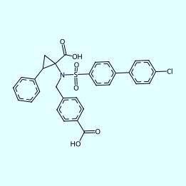 O=C(O)c1ccc(CN(C2(C(=O)O)CC2c2ccccc2)S(=O)(=O)c2ccc(-c3ccc(Cl)cc3)cc2)cc1